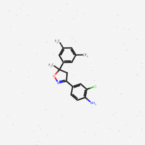 Nc1ccc(C2=NOC(c3cc(C(F)(F)F)cc(C(F)(F)F)c3)(C(F)(F)F)C2)cc1Cl